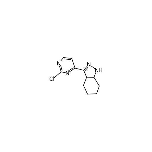 Clc1nccc(-c2n[nH]c3c2CCCC3)n1